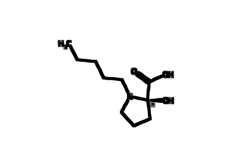 CCCCCN1CCC[C@@]1(O)C(=O)O